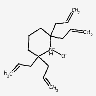 C=CCC1(CC=C)CCCC(CC=C)(CC=C)[NH+]1[O-]